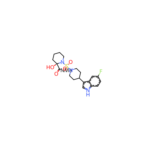 CNC(=O)[C@]1(O)CCCCN1S(=O)(=O)N1CCC(c2c[nH]c3ccc(F)cc23)CC1